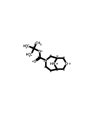 CC(C)(C)OC(=O)N1CCC2COCC(C1)N2